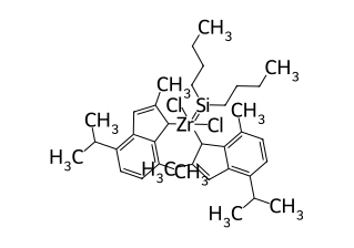 CCCC[Si](CCCC)=[Zr]([Cl])([Cl])([CH]1C(C)=Cc2c(C(C)C)ccc(C)c21)[CH]1C(C)=Cc2c(C(C)C)ccc(C)c21